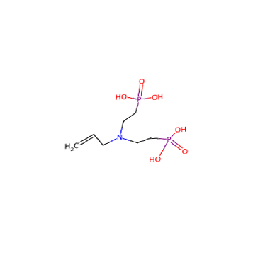 C=CCN(CCP(=O)(O)O)CCP(=O)(O)O